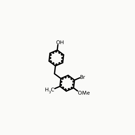 COc1cc(C)c(Cc2ccc(O)cc2)cc1Br